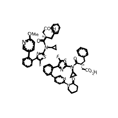 COc1ccc(-c2ccccc2-c2nc(N(C(=O)[C@@H](CC(=O)O)Cc3ccccc3)C3CC3)sc2F)cn1.O=C(O)C[C@@H](Cc1ccccc1)C(=O)N(c1nc(-c2ccccc2-c2ccc(N3CCCCC3=O)nc2)c(F)s1)C1CC1